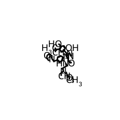 CCN(CCNC(=O)c1nnc(-c2cc(C(C)C)c(O)cc2O)n1-c1ccc(CN2CCOCC2)cc1)CCOC